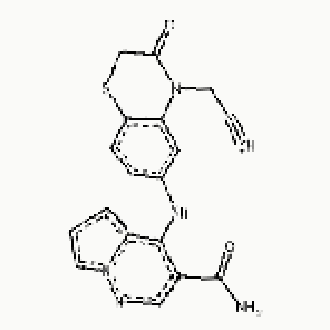 C#CCN1C(=O)CSc2ccc(Nc3c(C(N)=O)cnn4cccc34)cc21